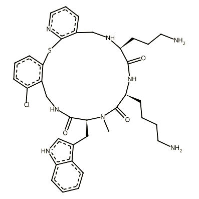 CN1C(=O)[C@H](CCCCN)NC(=O)[C@H](CCCN)NCc2cccnc2Sc2cccc(Cl)c2CNC(=O)[C@@H]1Cc1c[nH]c2ccccc12